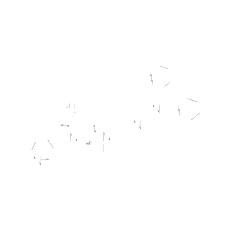 CC(C)(C)OC(=O)N1C(c2cccnc2)SC[C@H]1C(=O)NCCN1CCN(C(c2ccccc2)c2ccccc2)CC1